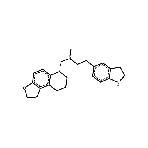 CN(CCc1ccc2c(c1)CCN2)C[C@@H]1CCCc2c1ccc1c2OCO1